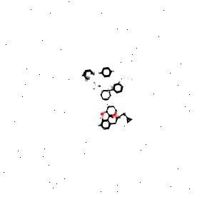 CC(=O)Nc1ccc(O)cc1.COc1cccc([C@@]2(O)CCCC[C@@H]2CN(C)C)c1.O=C(O)c1cccnc1.O=C1CC[C@@]2(O)[C@H]3Cc4ccc(O)c5c4[C@@]2(CCN3CC2CC2)[C@H]1O5